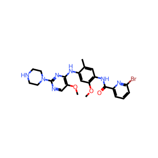 COc1cc(Nc2nc(N3CCNCC3)ncc2OC)c(C)cc1NC(=O)c1cccc(Br)n1